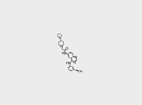 C#Cc1cccc(Nc2ncnc3ccc(NC(=O)CN4CCC(N5CCCC5)CC4)cc23)c1